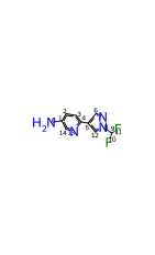 Nc1ccc(-c2cnn(C(F)F)c2)nc1